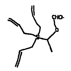 C=CC[Si](CC=C)(CC=C)C(C)O[C]=O